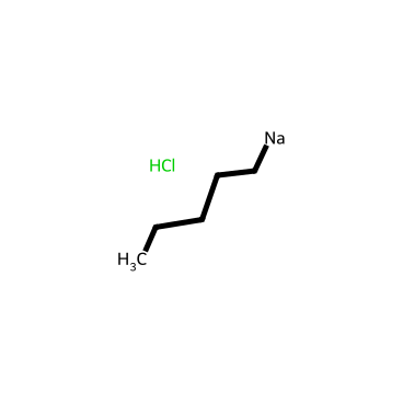 CCCC[CH2][Na].Cl